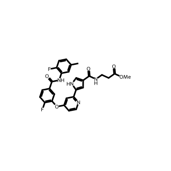 COC(=O)CCNC(=O)c1c[nH]c(-c2cc(Oc3cc(C(=O)Nc4cc(C)ccc4F)ccc3F)ccn2)c1